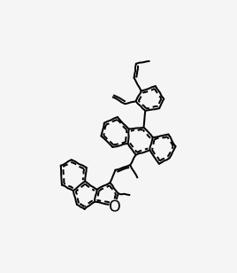 C=Cc1c(/C=C\C)cccc1-c1c2ccccc2c(/C(C)=C/c2c(C)oc3ccc4ccccc4c23)c2ccccc12